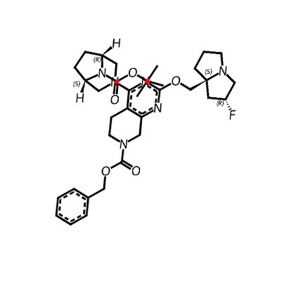 CC(C)(C)OC(=O)N1[C@@H]2CC[C@H]1CN(c1nc(OC[C@@]34CCCN3C[C@H](F)C4)nc3c1CCN(C(=O)OCc1ccccc1)C3)C2